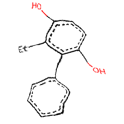 CCc1c(O)ccc(O)c1-c1ccccc1